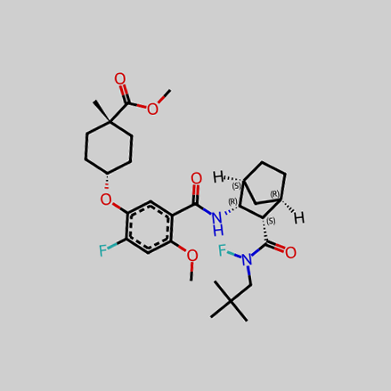 COc1cc(F)c(O[C@H]2CC[C@@](C)(C(=O)OC)CC2)cc1C(=O)N[C@@H]1[C@H]2CC[C@H](C2)[C@@H]1C(=O)N(F)CC(C)(C)C